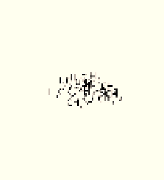 CC1=C[C](C)([Zr+]([C]2=CC=CC2=C[Si](C)(C)C)[SiH](C)C)C(C)=C1C